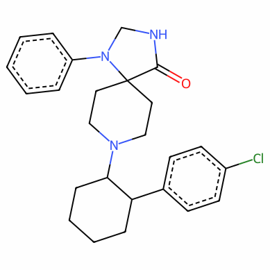 O=C1NCN(c2ccccc2)C12CCN(C1CCCCC1c1ccc(Cl)cc1)CC2